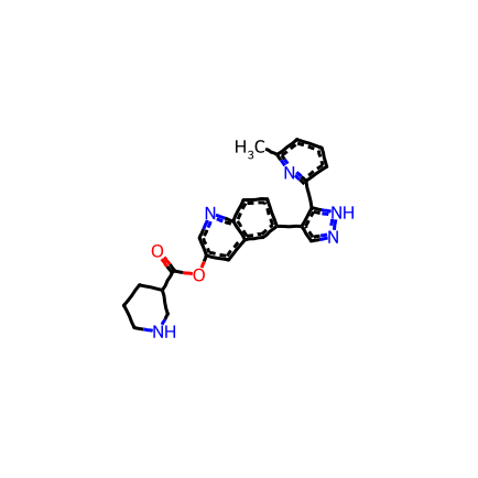 Cc1cccc(-c2[nH]ncc2-c2ccc3ncc(OC(=O)C4CCCNC4)cc3c2)n1